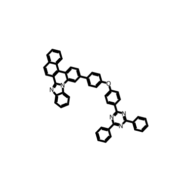 c1ccc(-c2nc(-c3ccccc3)nc(-c3ccc(Oc4ccc(-c5ccc6c7c8ccccc8ccc7c7nc8ccccc8n7c6c5)cc4)cc3)n2)cc1